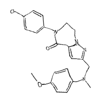 COc1ccc(N(C)Cc2cc3n(n2)CCN(c2ccc(Cl)cc2)C3=O)cc1